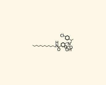 CCCCCCCCCCCCNC(=O)c1ccc(CN(CC(C)c2ccc(Cl)cc2)C(=O)C(=O)O)cc1